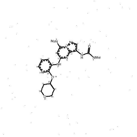 CNC(=O)Nc1cnn2c(NC)cc(Nc3cccnc3OC3CCOCC3)nc12